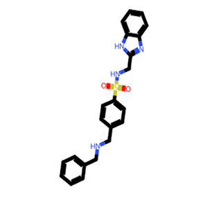 O=S(=O)(NCc1nc2ccccc2[nH]1)c1ccc(CNCc2ccccc2)cc1